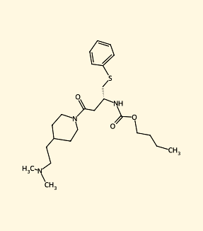 CCCCOC(=O)N[C@@H](CSc1ccccc1)CC(=O)N1CCC(CCN(C)C)CC1